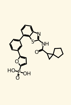 O=C(Nc1nc2cccc(-c3cccc(-c4ccc(P(=O)(O)O)o4)c3)c2s1)C1CC12CCCC2